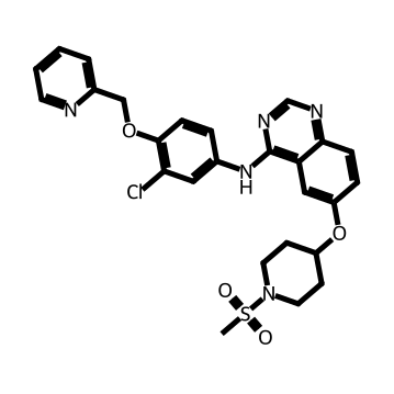 CS(=O)(=O)N1CCC(Oc2ccc3ncnc(Nc4ccc(OCc5ccccn5)c(Cl)c4)c3c2)CC1